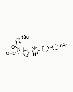 CCCC1CCC(C2CC=C(c3cnc(-c4ccc(CC(C=O)NC(=O)c5ccc(C(C)(C)C)s5)cc4)nc3)CC2)CC1